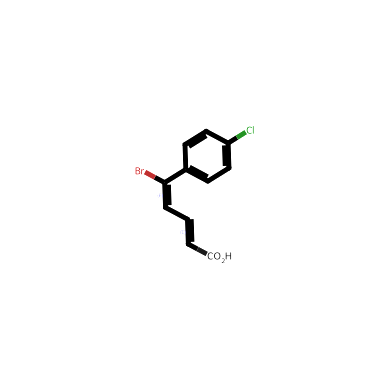 O=C(O)/C=C/C=C(/Br)c1ccc(Cl)cc1